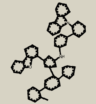 Cc1ccccc1-c1ccc(-c2ccccc2)c(-c2cc(Nc3cccc(-c4ccccc4-n4c5ccccc5c5ccccc54)c3)cc(-c3cccc4c3oc3ccccc34)c2)c1